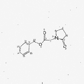 O=C(CN1CCCC1=O)OCc1ccccc1